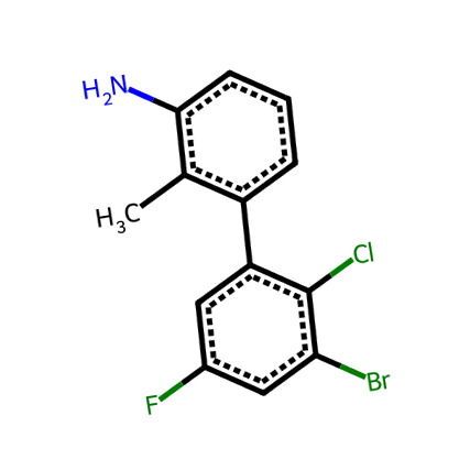 Cc1c(N)cccc1-c1cc(F)cc(Br)c1Cl